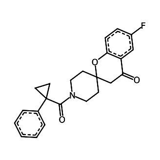 O=C1CC2(CCN(C(=O)C3(c4ccccc4)CC3)CC2)Oc2ccc(F)cc21